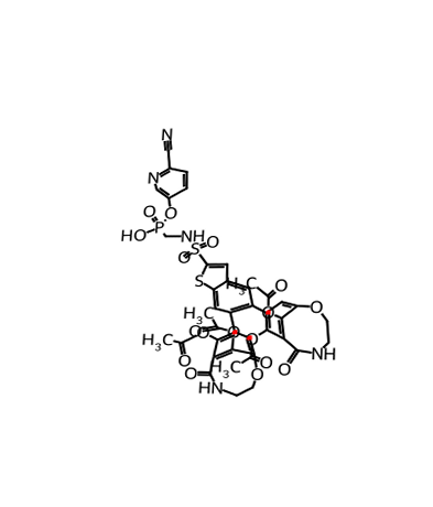 CC(=O)Oc1c2cc(-c3cc4cc(S(=O)(=O)NCP(=O)(O)Oc5ccc(C#N)nc5)sc4cc3-c3cc4c(OC(C)=O)c(c3OC(C)=O)C(=O)NCCO4)c(OC(C)=O)c1C(=O)NCCO2